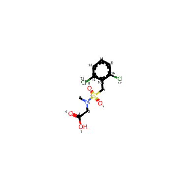 CN(CC(=O)O)S(=O)(=O)Cc1c(Cl)cccc1Cl